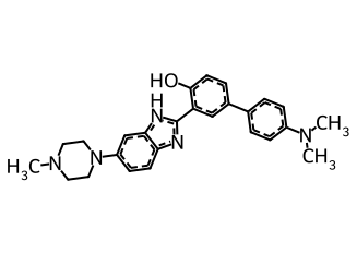 CN1CCN(c2ccc3nc(-c4cc(-c5ccc(N(C)C)cc5)ccc4O)[nH]c3c2)CC1